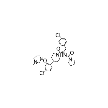 CN1CCC[C@H](Oc2cc(Cl)ccc2C2CCN(C(=O)[C@@H](Cc3ccc(Cl)cc3)NC(=O)N3CCCC3)CC2)C1